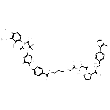 Cc1ncsc1-c1ccc(CNC(=O)C2CCCN2C(=O)[C@@H](NC(=O)COCCCNC(=O)c2ccc(Oc3ncc(N4C(=S)N(c5ccc(C#N)c(C(F)(F)F)c5F)C(=O)C4(C)C)cc3C(F)(F)F)cc2)C(C)(C)C)cc1